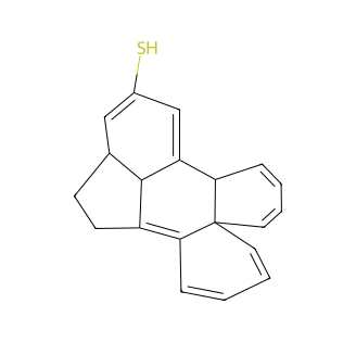 SC1=CC2CCC3=C4C=CC=CC45C=CC=CC5C(=C1)C32